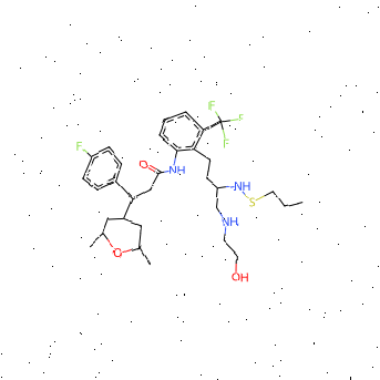 CCCSNC(CCc1c(NC(=O)CC(c2ccc(F)cc2)C2CC(C)OC(C)C2)cccc1C(F)(F)F)CNCCO